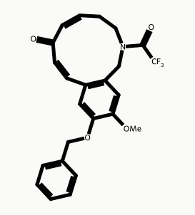 COc1cc2c(cc1OCc1ccccc1)/C=C\C(=O)/C=C\CCN(C(=O)C(F)(F)F)C2